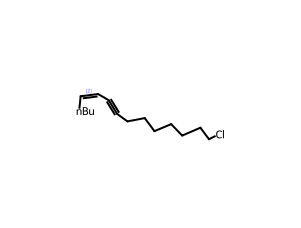 CCCC/C=C\C#CCCCCCCCCl